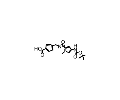 Cn1cc(NC(=O)OC(C)(C)C)cc1C(=O)NCc1ccc(C(=O)O)cc1